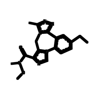 CCc1ccc2c(c1)-c1nnc(C)n1Cc1c(C(=O)N(C)OC)ncn1-2